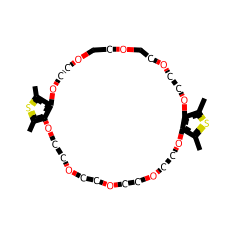 Cc1sc(C)c2c1OCCOCCOCCOCCOc1c(C)sc(C)c1OCCOCCOCCOCCO2